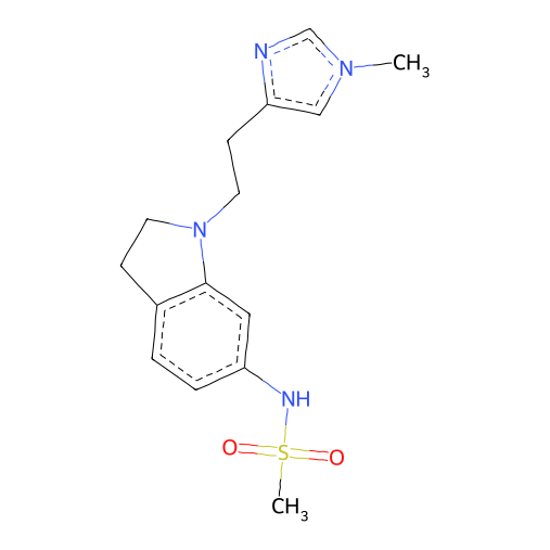 Cn1cnc(CCN2CCc3ccc(NS(C)(=O)=O)cc32)c1